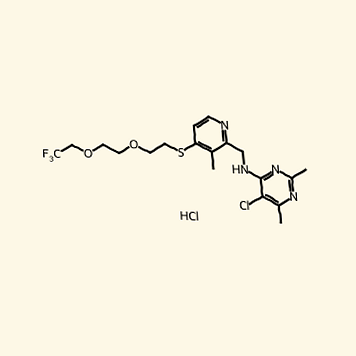 Cc1nc(C)c(Cl)c(NCc2nccc(SCCOCCOCC(F)(F)F)c2C)n1.Cl